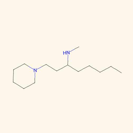 CCCCCC(CCN1CCCCC1)NC